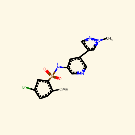 COc1ccc(Br)cc1S(=O)(=O)Nc1cncc(-c2cnn(C)c2)c1